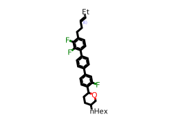 CC/C=C/CCc1ccc(-c2ccc(-c3ccc(C4CCC(CCCCCC)CO4)c(F)c3)cc2)c(F)c1F